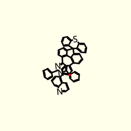 c1ccc(-c2cc(-c3cccc4c3-c3c(-c5ccc(-c6cccc7ncccc67)cc5)cccc3C43c4ccccc4Sc4ccccc43)nc(-c3ccccc3)n2)cc1